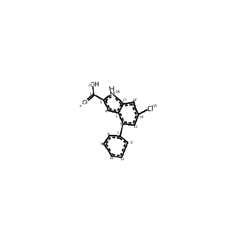 O=C(O)c1cc2c(-c3ccccc3)cc(Cl)cc2[nH]1